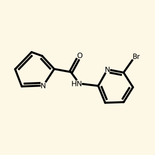 O=C(Nc1cccc(Br)n1)c1ccccn1